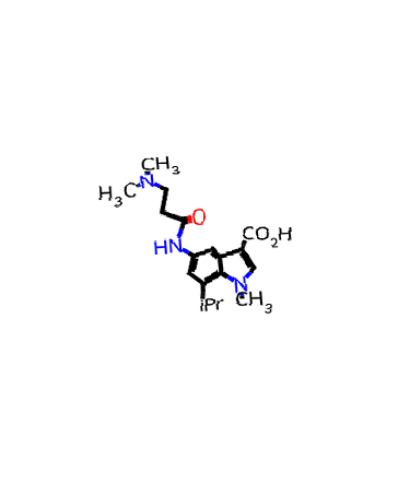 CC(C)c1cc(NC(=O)CCN(C)C)cc2c(C(=O)O)cn(C)c12